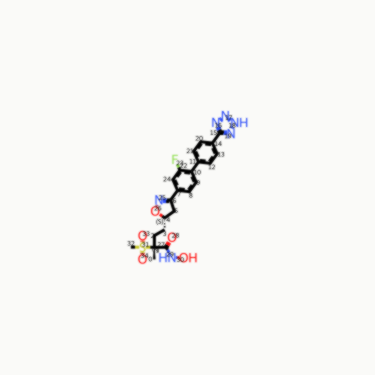 C[C@@](CC[C@H]1CC(c2ccc(-c3ccc(-c4nn[nH]n4)cc3)c(F)c2)=NO1)(C(=O)NO)S(C)(=O)=O